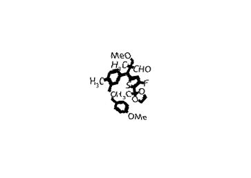 COCC(C)(C=O)C(c1ccc(C)c(COCc2ccc(OC)cc2)c1)c1cc(F)c(C2(C)OCCO2)s1